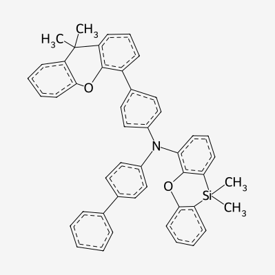 CC1(C)c2ccccc2Oc2c(-c3ccc(N(c4ccc(-c5ccccc5)cc4)c4cccc5c4Oc4ccccc4[Si]5(C)C)cc3)cccc21